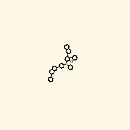 c1ccc(-c2ccc3ccc(-c4ccc(N(c5ccccc5)c5ccc(-c6ccc7ccccc7c6)c6c5oc5ccccc56)cc4)cc3c2)cc1